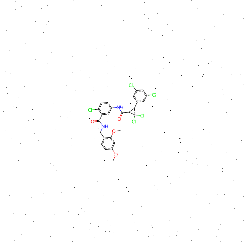 COc1ccc(CNC(=O)c2cc(NC(=O)C3C(c4cc(Cl)cc(Cl)c4)C3(Cl)Cl)ccc2Cl)c(OC)c1